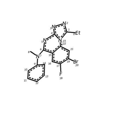 CCc1nnc2nc(N(C)c3ccccc3)c3cc(F)c(Br)cc3n12